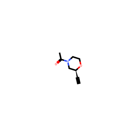 C#C[C@H]1CN(C(C)=O)CCO1